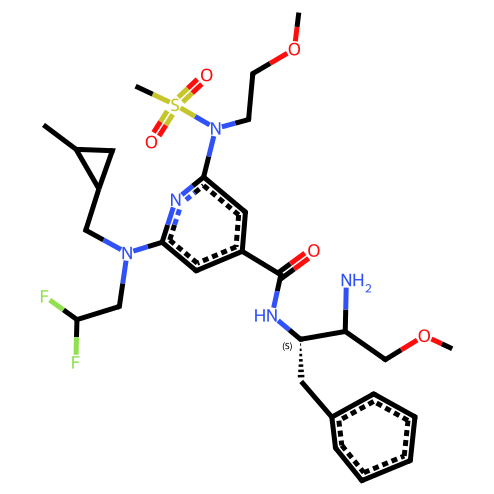 COCCN(c1cc(C(=O)N[C@@H](Cc2ccccc2)C(N)COC)cc(N(CC(F)F)CC2CC2C)n1)S(C)(=O)=O